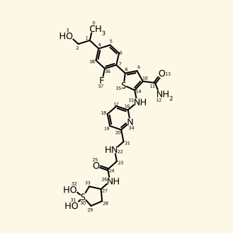 CC(CO)c1ccc(-c2cc(C(N)=O)c(Nc3cccc(CNCC(=O)NC4CCS(O)(O)C4)n3)s2)c(F)c1